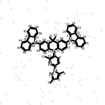 Cc1cc(C)n(-c2ccc(N3c4ccc(-n5c6ccccc6c6ccccc65)cc4C(C)(C)c4cc(-n5c6ccccc6c6ccccc65)ccc43)c(C)n2)n1